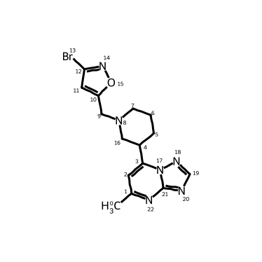 Cc1cc(C2CCCN(Cc3cc(Br)no3)C2)n2ncnc2n1